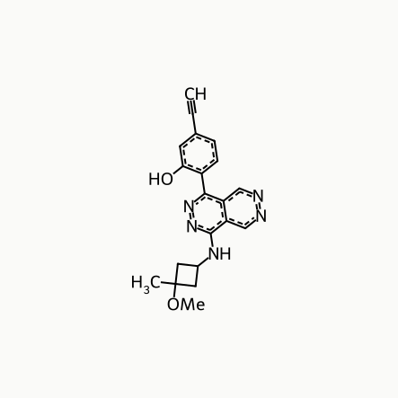 C#Cc1ccc(-c2nnc(NC3CC(C)(OC)C3)c3cnncc23)c(O)c1